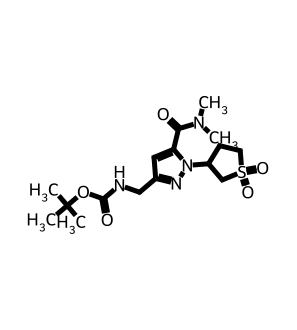 CN(C)C(=O)c1cc(CNC(=O)OC(C)(C)C)nn1C1CCS(=O)(=O)C1